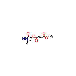 C=C1CC(OC(=O)/C=C/C(=O)OC(C)C)C(=O)N1